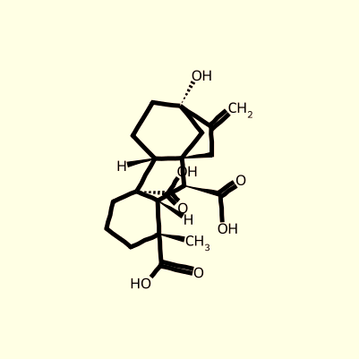 C=C1C[C@]23C[C@@]1(O)CC[C@H]2[C@]1(C(=O)O)CCC[C@@](C)(C(=O)O)[C@H]1[C@@H]3C(=O)O